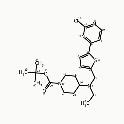 CCN(Cc1ccc(-c2ccnc(Cl)n2)s1)C1CCN(C(=O)OC(C)(C)C)CC1